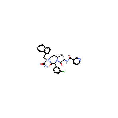 CC1CCN(C(Cc2cccc3ccccc23)C(N)=O)C(=O)C(c2cccc(Cl)c2)N1C(=O)CNC(=O)c1cccnc1